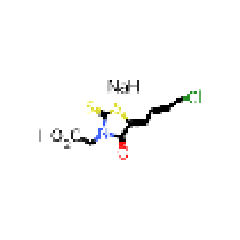 O=C(O)CN1C(=O)/C(=C/C=C/CCl)SC1=S.[NaH]